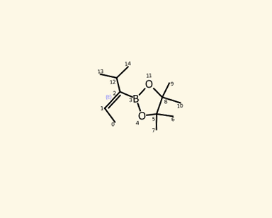 C/C=C(\B1OC(C)(C)C(C)(C)O1)C(C)C